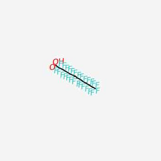 O=C(O)C(F)(F)C(F)(F)C(F)(F)C(F)(F)C(F)(F)C(F)(F)C(F)(F)C(F)(F)C(F)(F)C(F)(F)C(F)(F)C(F)(F)C(F)(F)F